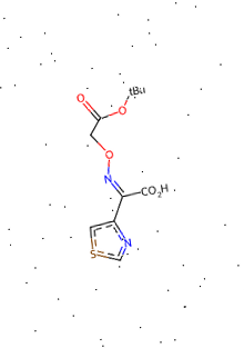 CC(C)(C)OC(=O)CON=C(C(=O)O)c1cscn1